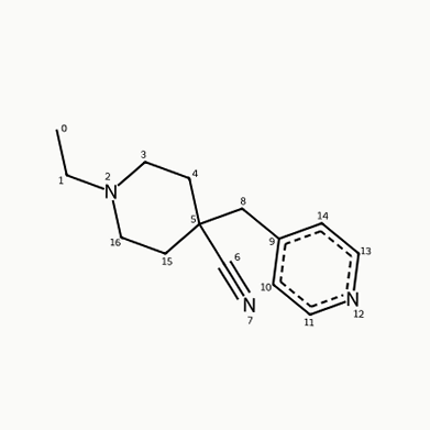 CCN1CCC(C#N)(Cc2ccncc2)CC1